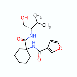 CC(C)[C@@H](CO)NC(=O)C1(NC(=O)c2ccoc2)CCCCC1